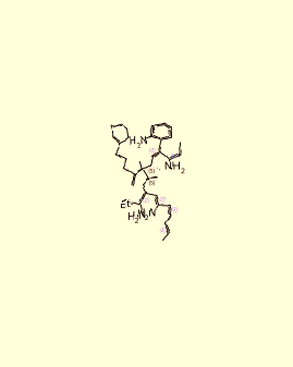 C=C(CCCC1=CC=CCC1)C(C)([C@@H](C)/C=C(\C(N)=C/C)c1ccccc1N)[C@@H](C)CC(/C=C(N)/C=C\C=C\C)=C(/N)CC